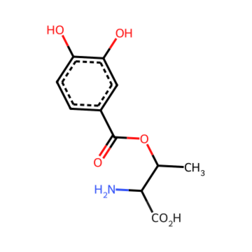 CC(OC(=O)c1ccc(O)c(O)c1)C(N)C(=O)O